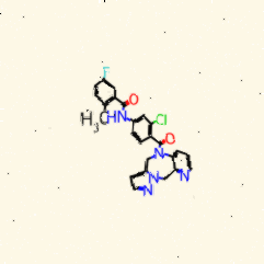 Cc1ccc(F)cc1C(=O)Nc1ccc(C(=O)N2Cc3ccnn3Cc3ncccc32)c(Cl)c1